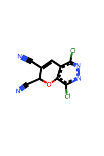 N#CC1=Cc2c(Cl)nnc(Cl)c2OC1C#N